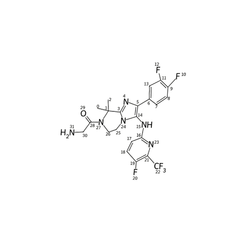 CC1(C)c2nc(-c3ccc(F)c(F)c3)c(Nc3ccc(F)c(C(F)(F)F)n3)n2CCN1C(=O)CN